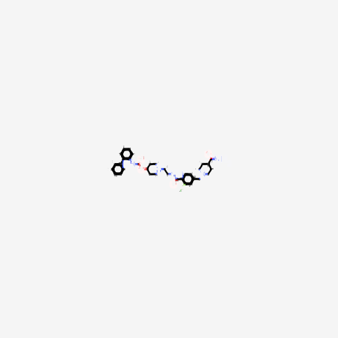 NC(=O)C1CCN(Cc2ccc(C(=O)NCCN3CCC(OC(=O)Nc4ccccc4-c4ccccc4)CC3)c(F)c2)CC1